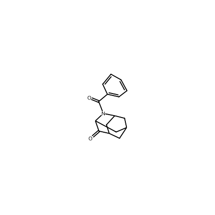 O=C1C2CC3CC(C2)N(C(=O)c2ccccc2)C1C3